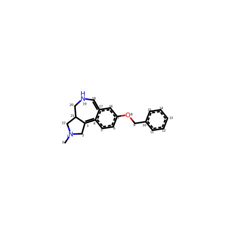 CN1CC2=c3ccc(OCc4ccccc4)cc3=CNCC2C1